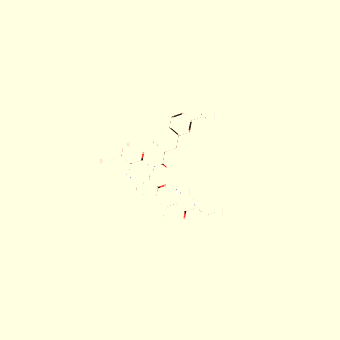 CC(C)C[C@@H](C(=O)O[C@H](C)[C@H](N)C(=O)NC[C]=O)N(C(=O)[C@@H](N)[C@H](O)C(C)C)C(=O)[C@@H](N)Cc1cccc(N)c1